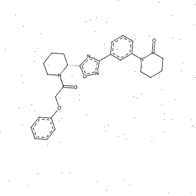 O=C1CCCCN1c1cccc(-c2noc([C@H]3CCCCN3C(=O)COc3ccccc3)n2)c1